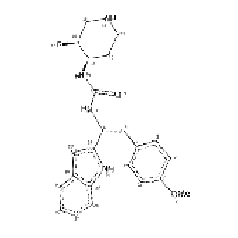 COc1ccc(C[C@@H](NC(=O)N[C@@H]2CCNC[C@@H]2F)c2nc3ccccc3[nH]2)cc1